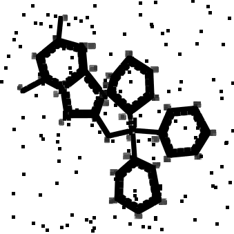 Cc1cc(C)n2nc(C[PH](c3ccccc3)(c3ccccc3)c3ccccc3)nc2n1